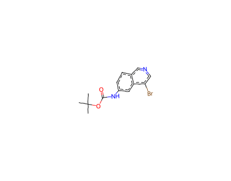 CC(C)(C)OC(=O)Nc1ccc2cncc(Br)c2c1